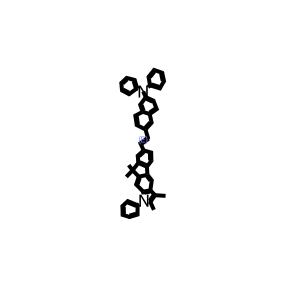 Cc1c(C)n(-c2ccccc2)c2cc3c(cc12)-c1ccc(/C=C/c2ccc4cc(N(c5ccccc5)c5ccccc5)ccc4c2)cc1C3(C)C